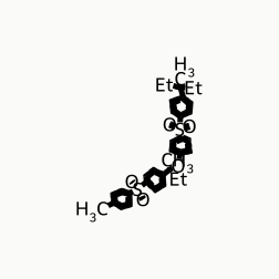 CCC(C)(CC)c1ccc(S(=O)(=O)c2ccc(OC(C)(CC)c3ccc(S(=O)(=O)c4ccc(C)cc4)cc3)cc2)cc1